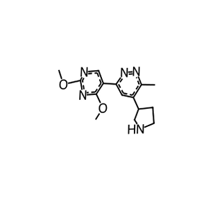 COc1ncc(-c2cc(C3CCNC3)c(C)nn2)c(OC)n1